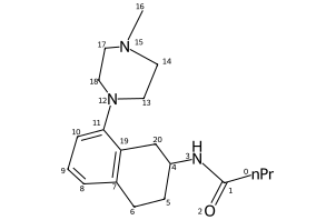 CCCC(=O)NC1CCc2cccc(N3CCN(C)CC3)c2C1